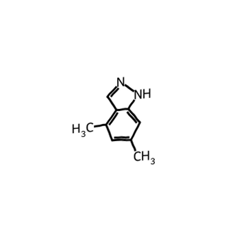 Cc1cc(C)c2cn[nH]c2c1